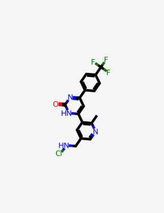 Cc1ncc(CNCl)cc1-c1cc(-c2ccc(C(F)(F)F)cc2)nc(=O)[nH]1